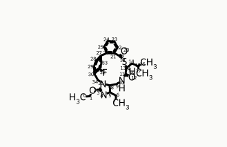 CCOC1=NC(CC)C2CNC(=O)[C@H](CC(C)C)SC(=O)c3ccccc3-c3ccc(c(F)c3)CN12